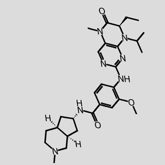 CC[C@@H]1C(=O)N(C)c2cnc(Nc3ccc(C(=O)N[C@H]4C[C@@H]5CCN(C)C[C@@H]5C4)cc3OC)nc2N1C(C)C